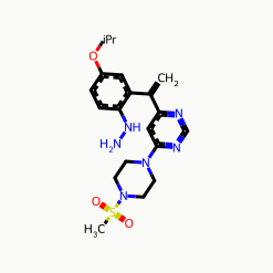 C=C(c1cc(N2CCN(S(C)(=O)=O)CC2)ncn1)c1cc(OC(C)C)ccc1NN